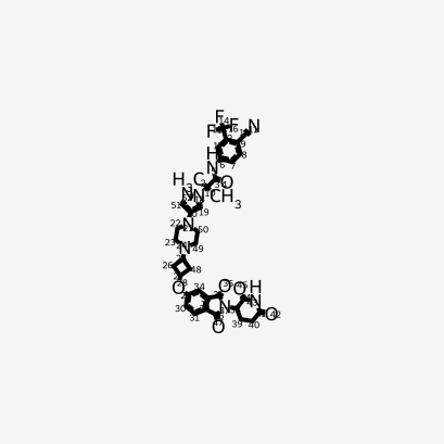 CC(C)(C(=O)Nc1ccc(C#N)c(C(F)(F)F)c1)n1cc(N2CCN(C3CC(Oc4ccc5c(c4)C(=O)N(C4CCC(=O)NC4=O)C5=O)C3)CC2)cn1